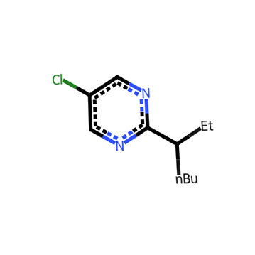 CCCCC(CC)c1ncc(Cl)cn1